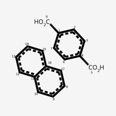 O=C(O)c1ccc(C(=O)O)cc1.c1ccc2ccccc2c1